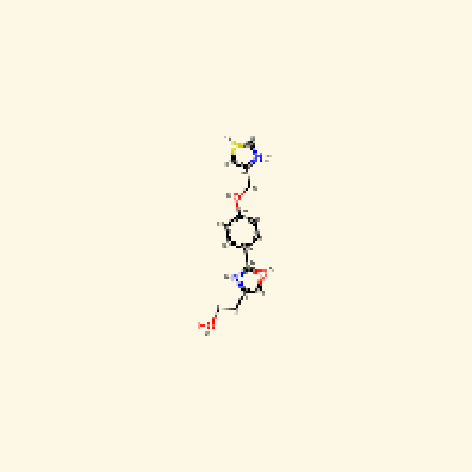 OCCc1coc(-c2ccc(OCc3cscn3)cc2)n1